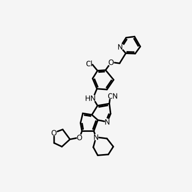 N#Cc1cnc2c(N3CCCCC3)c(OC3CCOC3)ccc2c1Nc1ccc(OCc2ccccn2)c(Cl)c1